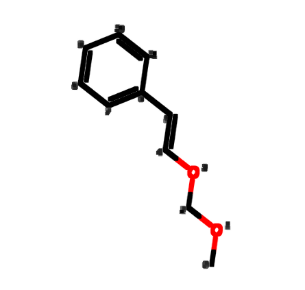 COCOC=Cc1ccccc1